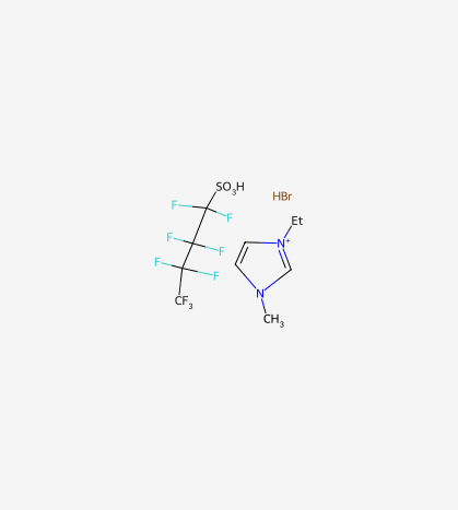 Br.CC[n+]1ccn(C)c1.O=S(=O)(O)C(F)(F)C(F)(F)C(F)(F)C(F)(F)F